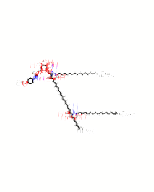 CCCCCCCCCCCCCCCCCCCCCCCCCCNC(CO[C@H]1O[C@H](COC(=S)Nc2ccc(OCC)cc2)[C@H](O)[C@H](O)[C@H]1O)C(O)C(O)CCCCCCCCCCCCCCC(O)[C@H](NCCCCCCCCCCCCCCCCCCCCCCCCCC)[C@H](O)[C@H](O)CCCCCCCCCCCCCC